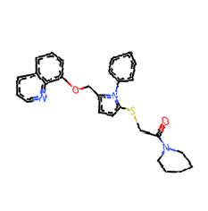 O=C(CSc1ccc(COc2cccc3cccnc23)n1-c1ccccc1)N1CCCCC1